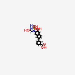 O=C(O)c1cccc(-c2ccc3cc(O)c(N4CC(O)NS4(O)O)cc3c2)c1